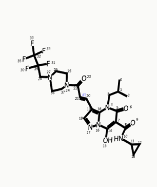 CC(C)Cn1c(=O)c(C(=O)NC2CC2)c(O)n2ncc(/C=C/C(=O)N3CCN(CC(F)(F)C(F)(F)F)CC3)c12